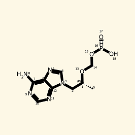 C[C@H](Cn1cnc2c(N)ncnc21)OCO[PH](=O)O